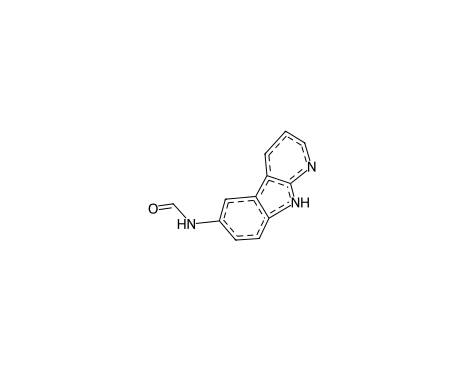 O=CNc1ccc2[nH]c3ncccc3c2c1